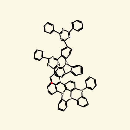 c1ccc(-c2nc(-c3ccccc3)nc(-c3ccc(-n4c5ccccc5c5ccccc54)c(-c4nc(-c5ccccc5)nc(-c5cccc(-c6ccc7c8c6N(c6ccccc6)c6ccccc6B8c6ccccc6N7c6ccccc6)c5)n4)c3)n2)cc1